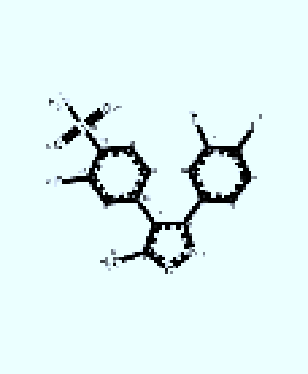 Cc1onc(-c2ccc(F)c(F)c2)c1-c1ccc(S(N)(=O)=O)c(F)c1